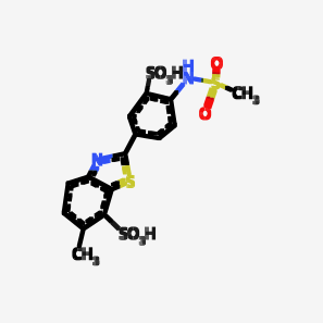 Cc1ccc2nc(-c3ccc(NS(C)(=O)=O)c(S(=O)(=O)O)c3)sc2c1S(=O)(=O)O